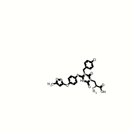 Cc1cc(Oc2ccc(/N=c3\[nH]c(=O)n(C[C@H](C)C(=O)O)c(=O)n3Cc3ccc(Cl)cc3)cc2)no1